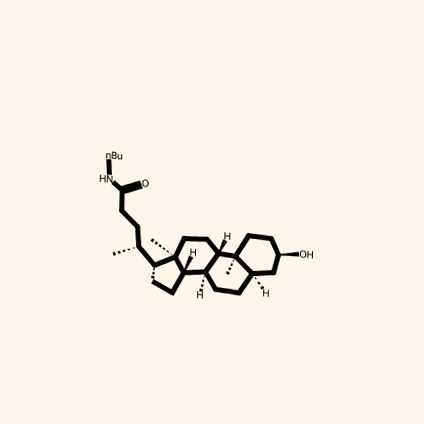 CCCCNC(=O)CC[C@@H](C)[C@H]1CC[C@H]2[C@@H]3CC[C@@H]4C[C@H](O)CC[C@]4(C)[C@H]3CC[C@]12C